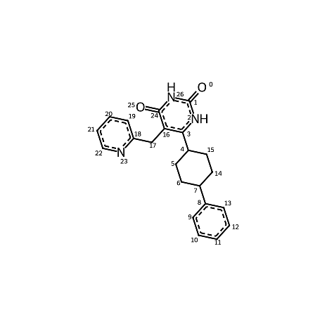 O=c1[nH]c(C2CCC(c3ccccc3)CC2)c(Cc2ccccn2)c(=O)[nH]1